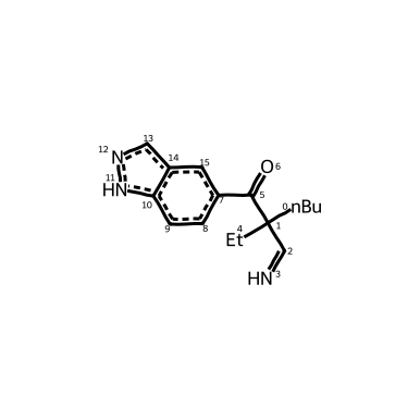 CCCCC(C=N)(CC)C(=O)c1ccc2[nH]ncc2c1